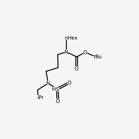 CCCCCCN(CCCN(CC(C)C)[SH](=O)=O)C(=O)OC(C)(C)C